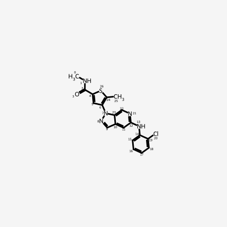 CNC(=O)c1cc(-n2ncc3cc(Nc4ccccc4Cl)ncc32)c(C)s1